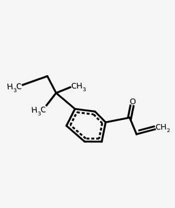 C=CC(=O)c1cccc(C(C)(C)CC)c1